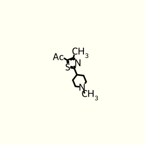 CC(=O)c1sc(C2CCN(C)CC2)nc1C